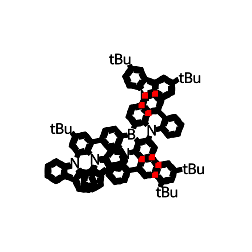 CC(C)(C)c1cc(-c2cc3c4c(c2)N(c2ccccc2-c2ccccc2)c2cc(-n5c6ccc(C(C)(C)C)cc6c6cc(C(C)(C)C)ccc65)ccc2B4c2ccc(-c4cc(C(C)(C)C)cc(-n5c6ccccc6c6ccccc65)c4-n4c5ccccc5c5ccccc54)cc2N3c2ccccc2-c2ccccc2)cc(C(C)(C)C)c1